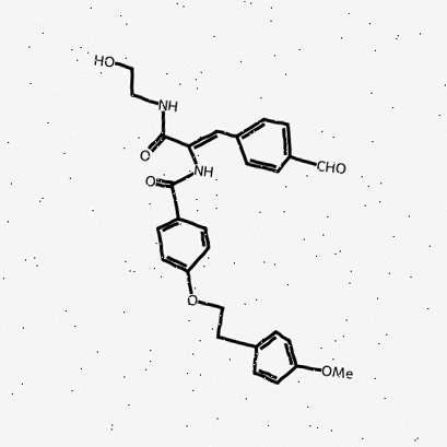 COc1ccc(CCOc2ccc(C(=O)N/C(=C\c3ccc(C=O)cc3)C(=O)NCCO)cc2)cc1